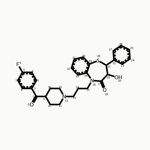 O=C(c1ccc(F)cc1)C1CCN(CCCN2C(=O)C(O)C(c3ccccc3)Sc3ccccc32)CC1